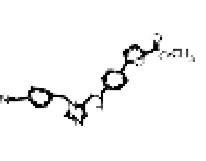 COC(=O)c1ccc(-c2ccc(NCc3cncn3Cc3ccc(C#N)cc3)cc2)o1